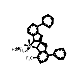 CC1=Cc2c(-c3ccccc3)ccc(C(F)(F)F)c2[CH]1[Zr]([CH3])([CH3])(=[SiH2])[CH]1C(C(C)C)=Cc2c(-c3ccccc3)cccc21.Cl.Cl